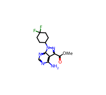 COC(=O)c1nn(C2CCC(F)(F)CC2)c2ncnc(N)c12